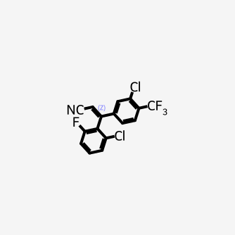 N#C/C=C(/c1ccc(C(F)(F)F)c(Cl)c1)c1c(F)cccc1Cl